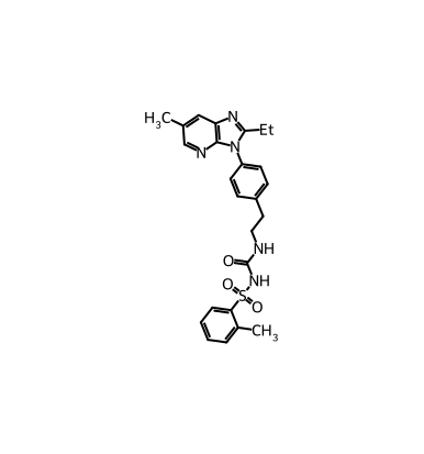 CCc1nc2cc(C)cnc2n1-c1ccc(CCNC(=O)NS(=O)(=O)c2ccccc2C)cc1